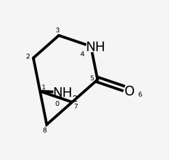 NC12CCNC(=O)C1C2